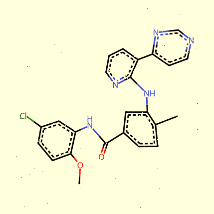 COc1ccc(Cl)cc1NC(=O)c1ccc(C)c(Nc2ncccc2-c2ccncn2)c1